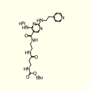 CCCNc1nc(NCCc2ccncc2)ncc1C(=O)NCCNC(=O)CCNC(=O)OC(C)(C)C